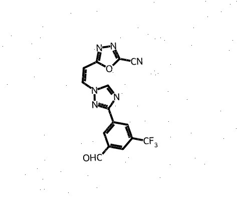 N#Cc1nnc(/C=C\n2cnc(-c3cc(C=O)cc(C(F)(F)F)c3)n2)o1